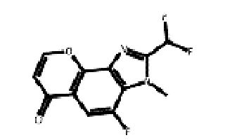 Cn1c(C(F)F)nc2c3occc(=O)c3cc(F)c21